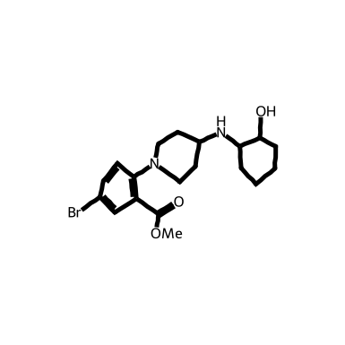 COC(=O)c1cc(Br)ccc1N1CCC(NC2CCCCC2O)CC1